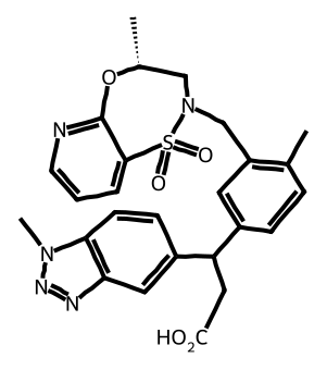 Cc1ccc(C(CC(=O)O)c2ccc3c(c2)nnn3C)cc1CN1C[C@@H](C)Oc2ncccc2S1(=O)=O